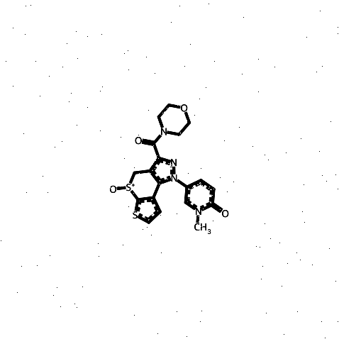 Cn1cc(-n2nc(C(=O)N3CCOCC3)c3c2-c2ccsc2[S+]([O-])C3)ccc1=O